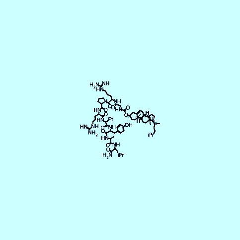 CCC(NC(=O)C(CCCNC(=N)N)NC(=O)C1CCCN1C(=O)C(CCCNC(=N)N)NC(=O)CNC(=O)O[C@@H]1CC[C@]2(C)C(=CC[C@@H]3[C@H]4CC[C@@H]([C@@H](C)CCC(C)C)[C@]4(C)CC[C@H]32)C1)C(=O)NC(Cc1ccc(O)cc1)C(=O)NC(C)C(=O)NC(CC(C)C)C(N)=O